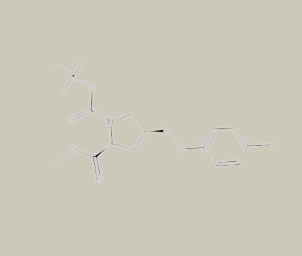 COC(=O)[C@@H]1C[C@H](OSc2ccc(Br)cc2)CN1C(=O)OC(C)(C)C